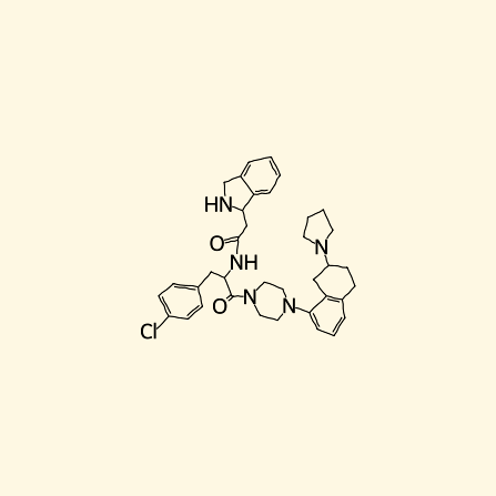 O=C(CC1NCc2ccccc21)NC(Cc1ccc(Cl)cc1)C(=O)N1CCN(c2cccc3c2CC(N2CCCC2)CC3)CC1